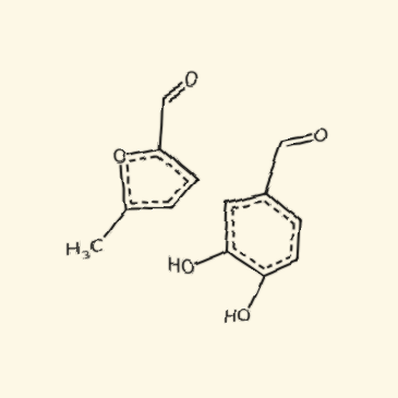 Cc1ccc(C=O)o1.O=Cc1ccc(O)c(O)c1